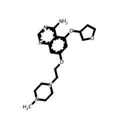 CN1CCN(CCOc2cc(OC3CCOC3)c3c(N)ncnc3c2)CC1